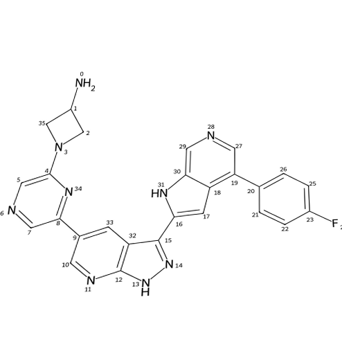 NC1CN(c2cncc(-c3cnc4[nH]nc(-c5cc6c(-c7ccc(F)cc7)cncc6[nH]5)c4c3)n2)C1